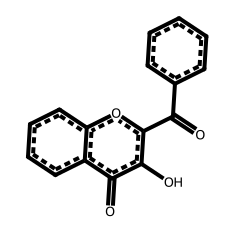 O=C(c1ccccc1)c1oc2ccccc2c(=O)c1O